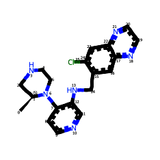 C[C@H]1CNCCN1c1ccncc1NCc1cc2nccnc2cc1Cl